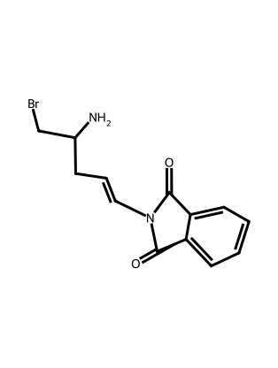 NC(CBr)CC=CN1C(=O)c2ccccc2C1=O